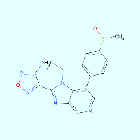 CCn1c(-c2nonc2N)nc2cncc(-c3ccc([S+](C)[O-])cc3)c21